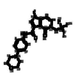 Cn1cc(C(=O)Nc2ccc(N3CCOCC3)cc2)c2c(=O)n(CC(F)(F)F)ccc21